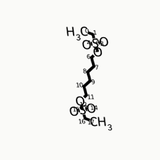 CCS(=O)(=O)OCCCCCCOS(=O)(=O)CC